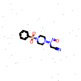 N#CCN(N=O)N1CCN(S(=O)(=O)c2ccccc2)CC1